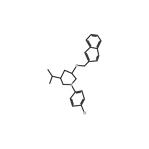 CC(C)C1CC(OCc2ccc3ccccc3c2)CN(c2ccc(Cl)cc2)C1